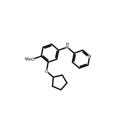 COc1ccc(Nc2cccnc2)cc1OC1CCCC1